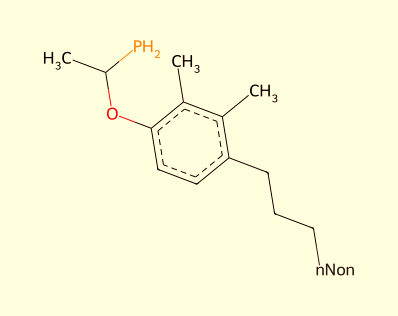 CCCCCCCCCCCCc1ccc(OC(C)P)c(C)c1C